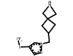 FC(F)(F)Sc1cnn(CC2CC3(CNC3)C2)c1